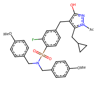 COc1ccc(CN(Cc2ccc(OC)cc2)S(=O)(=O)c2ccc(Cc3c(O)nn(C(C)=O)c3CC3CC3)cc2F)cc1